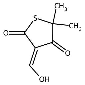 CC1(C)SC(=O)/C(=C/O)C1=O